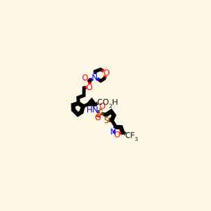 O=C(OCCCc1ccccc1C1CC1(NS(=O)(=O)c1ccc(-c2cc(C(F)(F)F)on2)s1)C(=O)O)N1CCOCC1